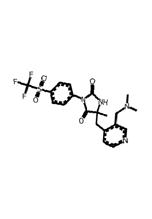 CN(C)Cc1cnccc1CC1(C)NC(=O)N(c2ccc(S(=O)(=O)C(F)(F)F)cc2)C1=O